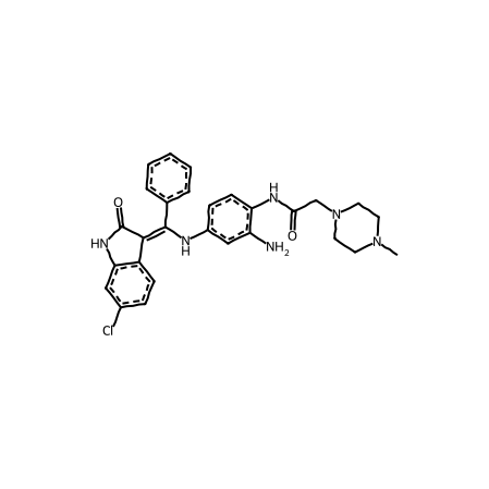 CN1CCN(CC(=O)Nc2ccc(NC(=C3C(=O)Nc4cc(Cl)ccc43)c3ccccc3)cc2N)CC1